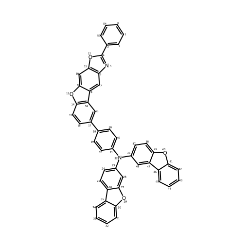 c1ccc(-c2nc3cc4c(cc3o2)oc2ccc(-c3ccc(N(c5ccc6c(c5)oc5ccccc56)c5ccc6oc7ccccc7c6c5)cc3)cc24)cc1